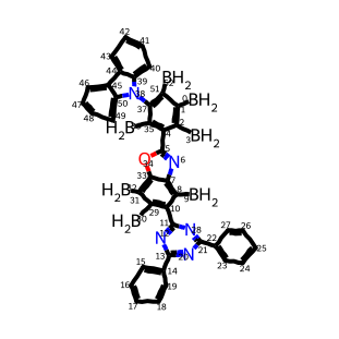 Bc1c(B)c(-c2nc3c(B)c(-c4nc(-c5ccccc5)nc(-c5ccccc5)n4)c(B)c(B)c3o2)c(B)c(-n2c3ccccc3c3ccccc32)c1B